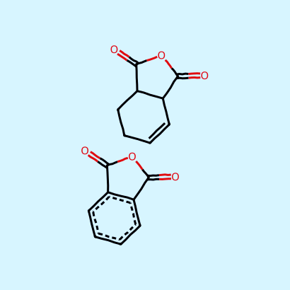 O=C1OC(=O)C2CCC=CC12.O=C1OC(=O)c2ccccc21